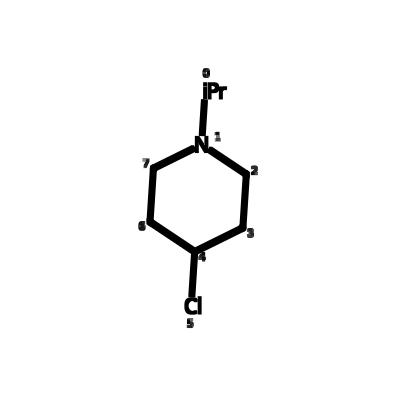 CC(C)N1CCC(Cl)CC1